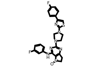 [O-][S+]1CCc2nc(N3CCN(c4nc(-c5ccc(F)cc5)cs4)CC3)nc(Nc3cccc(F)c3)c21